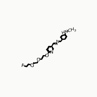 CNc1ccc(/C=N/N=C/c2ccc(OCCOCCOCCF)nc2)cc1